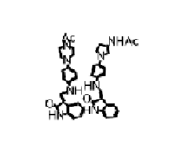 CC(=O)N1CCN(c2ccc(N/C=C3/C(=O)Nc4ccccc43)cc2)CC1.CC(=O)NC1CCN(c2ccc(N/C=C3\C(=O)Nc4ccccc43)cc2)C1